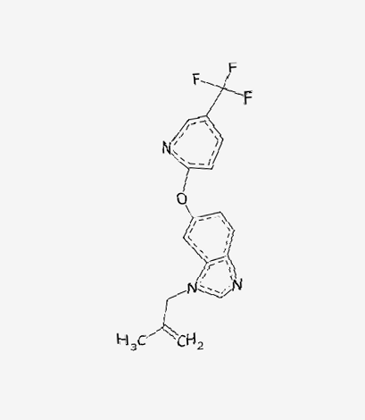 C=C(C)Cn1cnc2ccc(Oc3ccc(C(F)(F)F)cn3)cc21